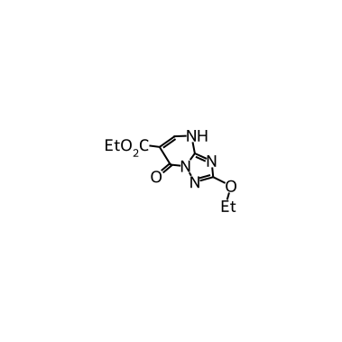 CCOC(=O)c1c[nH]c2nc(OCC)nn2c1=O